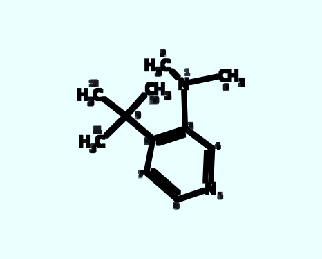 CN(C)c1cnccc1C(C)(C)C